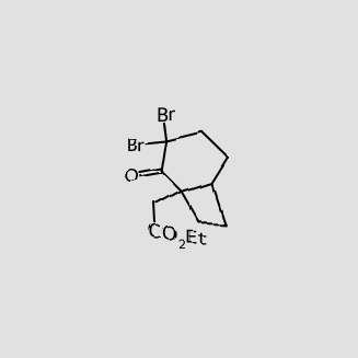 CCOC(=O)CC12CCC1CCC(Br)(Br)C2=O